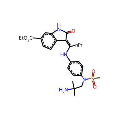 CCCC(Nc1ccc(N(CC(C)(C)N)S(C)(=O)=O)cc1)=C1C(=O)Nc2cc(C(=O)OCC)ccc21